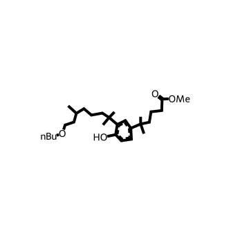 CCCCOCCC(C)CCCC(C)(C)c1cc(C(C)(C)CCCC(=O)OC)ccc1O